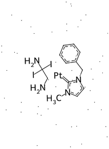 Cn1ccn(Cc2ccccc2)[c]1=[Pt].NCC(N)(I)I